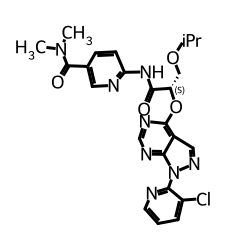 CC(C)OC[C@H](Oc1ncnc2c1cnn2-c1ncccc1Cl)C(=O)Nc1ccc(C(=O)N(C)C)cn1